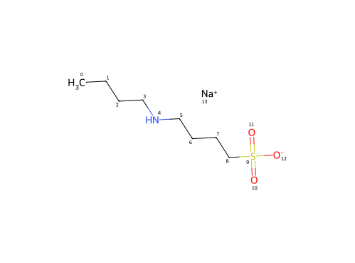 CCCCNCCCCS(=O)(=O)[O-].[Na+]